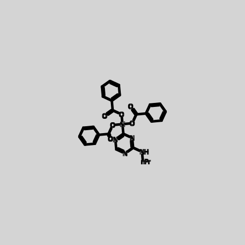 CCCNc1ncnc([Si](OC(=O)c2ccccc2)(OC(=O)c2ccccc2)OC(=O)c2ccccc2)n1